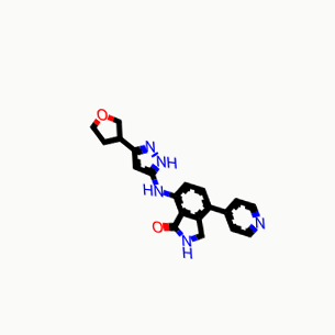 O=C1NCc2c(-c3ccncc3)ccc(Nc3cc(C4CCOC4)n[nH]3)c21